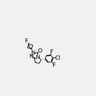 O=c1n(C23CC(F)(C2)C3)nc2n1[C@H](c1cc(F)c(Cl)c(F)c1)CC2